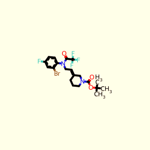 CC(C)(C)OC(=O)N1CCC/C(=C\CN(C(=O)C(F)(F)F)c2ccc(F)cc2Br)C1